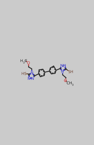 COCCn1c(S)nnc1-c1ccc(-c2ccc(-c3nnc(S)n3CCOC)cc2)cc1